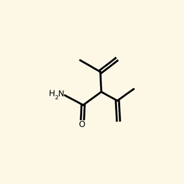 C=C(C)C(C(=C)C)C(N)=O